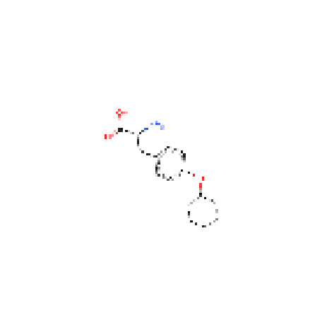 N[C@@H](Cc1ccc(OC2CCCCC2)cc1)C(=O)O